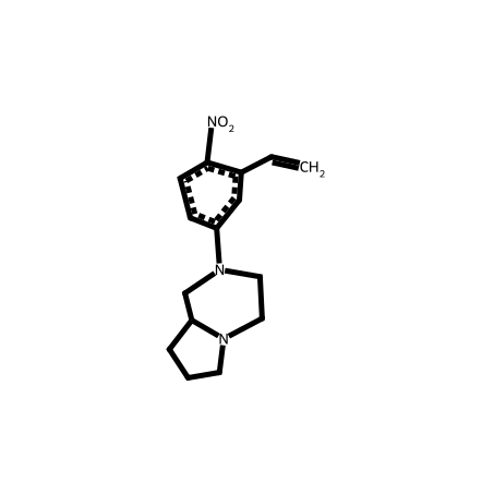 C=Cc1cc(N2CCN3CCCC3C2)ccc1[N+](=O)[O-]